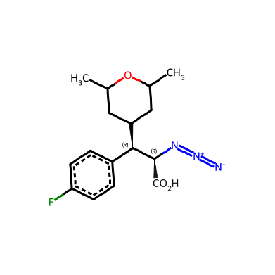 CC1CC([C@H](c2ccc(F)cc2)[C@@H](N=[N+]=[N-])C(=O)O)CC(C)O1